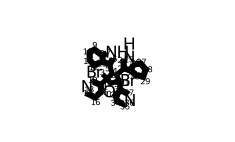 O=C(C(Br)(Cc1c[nH]c2ccccc12)c1cccnc1)C(Br)(Cc1c[nH]c2ccccc12)c1cccnc1